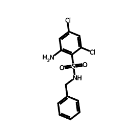 Nc1cc(Cl)cc(Cl)c1S(=O)(=O)NCc1ccccc1